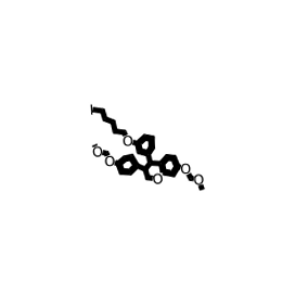 COCOc1ccc(C2COc3cc(OCOC)ccc3C2c2cccc(OCCCCCI)c2)cc1